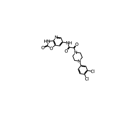 O=C(Nc1cnc2[nH]c(=O)oc2c1)C(=O)N1CCN(c2ccc(Cl)c(Cl)c2)CC1